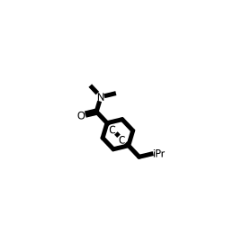 CC(C)CC12CCC(C(=O)N(C)C)(CC1)CC2